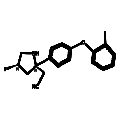 Cc1ccccc1Oc1ccc([C@@]2(CC#N)C[C@H](F)CN2)cc1